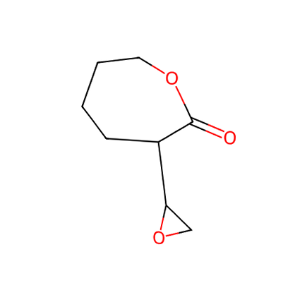 O=C1OCCCCC1C1CO1